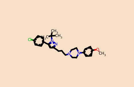 COc1ccc(N2CCN(CCCc3cc(-c4ccc(Cl)cc4)n(C(C)(C)C)n3)CC2)cc1